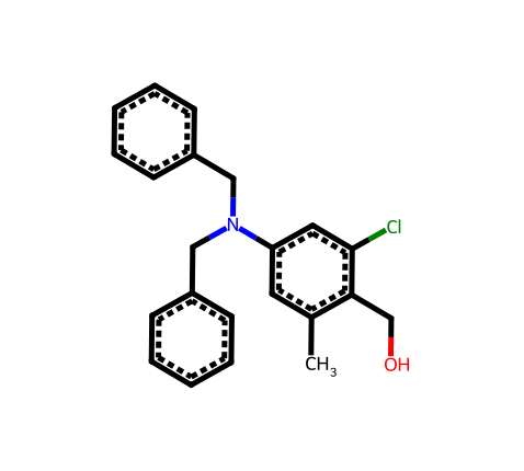 Cc1cc(N(Cc2ccccc2)Cc2ccccc2)cc(Cl)c1CO